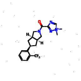 C[N+]1(C)C=NC(C(=O)N2C[C@H]3C[C@@H](c4ccccc4C(F)(F)F)C[C@H]3C2)=N1